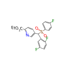 CCOC(=O)c1ccc(C(c2cc(F)ccc2F)S(=O)(=O)c2ccc(F)cc2)cn1